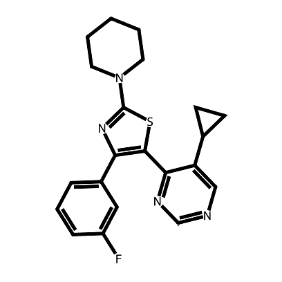 Fc1cccc(-c2nc(N3CCCCC3)sc2-c2n[c]ncc2C2CC2)c1